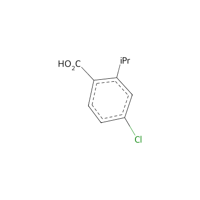 CC(C)c1cc(Cl)ccc1C(=O)O